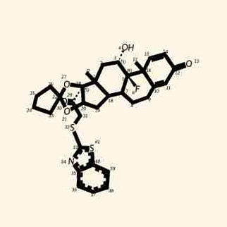 CC12C[C@H](O)[C@@]3(F)C(CCC4=CC(=O)C=CC43C)C1CC1OC3(CCCC3)O[C@]12C(=O)CSc1nc2ccccc2s1